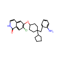 Nc1ccccc1CC1(C2CCCC2)CCC(Oc2cc3cc[nH]c(=O)c3cc2Cl)CC1